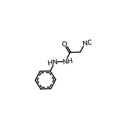 [C-]#[N+]CC(=O)NNc1ccccc1